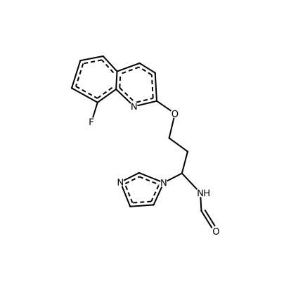 O=CNC(CCOc1ccc2cccc(F)c2n1)n1ccnc1